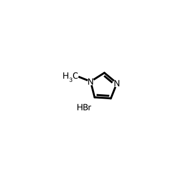 Br.Cn1ccnc1